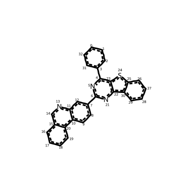 c1ccc(-c2nc(-c3ccc4c(c3)ncc3ccccc34)nc3c2sc2ccccc23)cc1